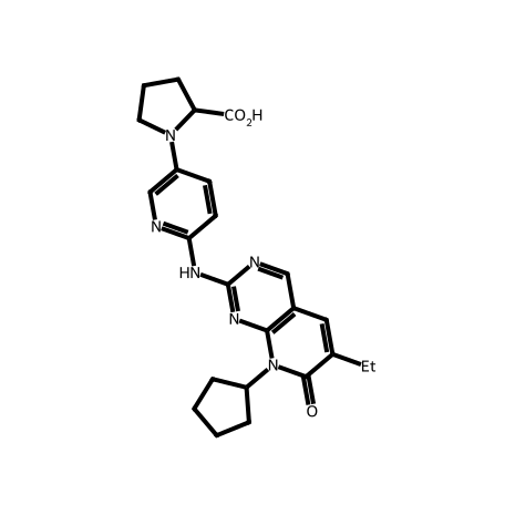 CCc1cc2cnc(Nc3ccc(N4CCCC4C(=O)O)cn3)nc2n(C2CCCC2)c1=O